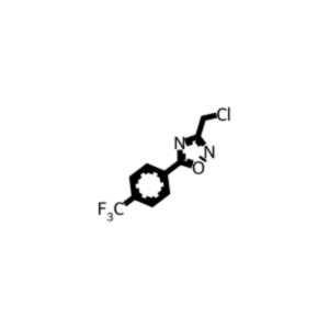 FC(F)(F)c1ccc(-c2nc(CCl)no2)cc1